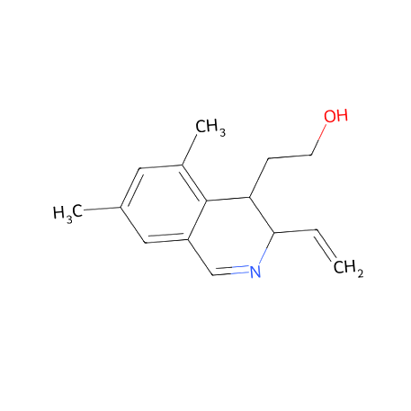 C=CC1N=Cc2cc(C)cc(C)c2C1CCO